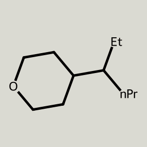 CCCC(CC)C1CCOCC1